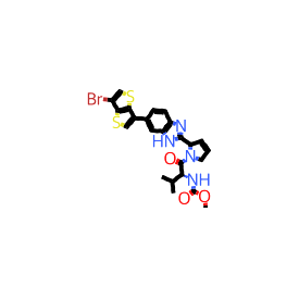 COC(=O)N[C@H](C(=O)N1CC=CC1c1nc2ccc(-c3csc4c(Br)csc34)cc2[nH]1)C(C)C